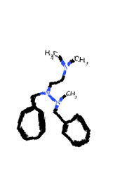 CN(C)CCN(Cc1ccccc1)N(C)Cc1ccccc1